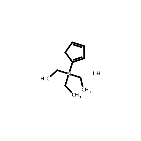 CC[Si](CC)(CC)C1=CC=CC1.[LiH]